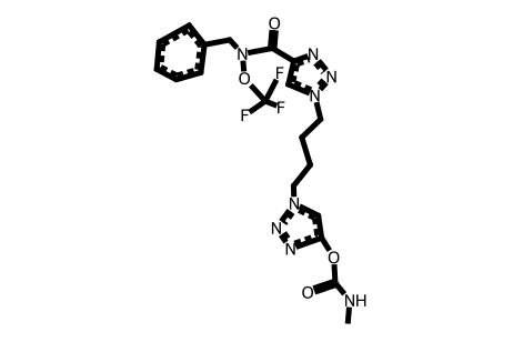 CNC(=O)Oc1cn(CCCCn2cc(C(=O)N(Cc3ccccc3)OC(F)(F)F)nn2)nn1